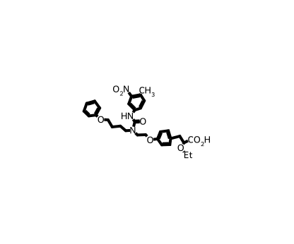 CCOC(Cc1ccc(OCCN(CCCCOc2ccccc2)C(=O)Nc2ccc(C)c([N+](=O)[O-])c2)cc1)C(=O)O